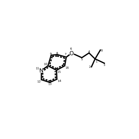 CC(C)(C)CCOc1ccc2ncccc2c1